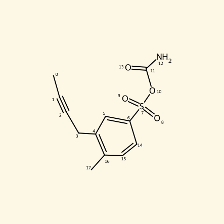 CC#CCc1cc(S(=O)(=O)OC(N)=O)ccc1C